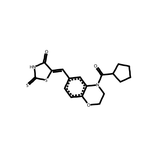 O=C1NC(=S)S/C1=C\c1ccc2c(c1)N(C(=O)C1CCCC1)CCO2